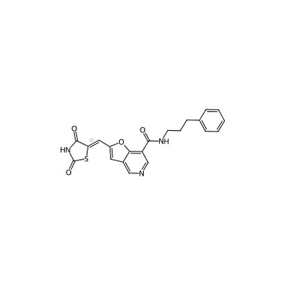 O=C1NC(=O)/C(=C/c2cc3cncc(C(=O)NCCCc4ccccc4)c3o2)S1